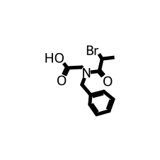 CC(Br)C(=O)N(CC(=O)O)Cc1ccccc1